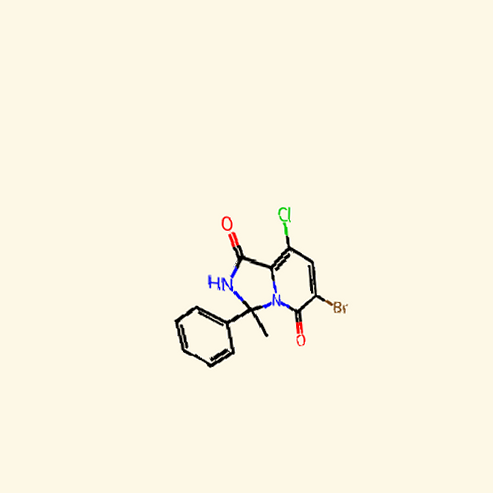 CC1(c2ccccc2)NC(=O)c2c(Cl)cc(Br)c(=O)n21